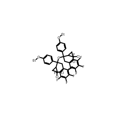 CCOc1ccc(C(Cc2c(F)c(F)c(F)c(F)c2F)(OC(Cc2c(F)c(F)c(F)c(F)c2F)(c2ccc(OCC)cc2)C2CC2(Cl)Cl)C2CC2(Cl)Cl)cc1